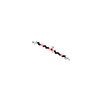 CC=COCCCCOC(=O)OCCCCOC=CC